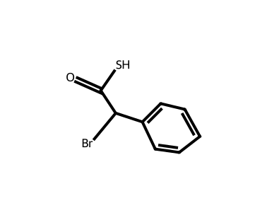 O=C(S)C(Br)c1ccccc1